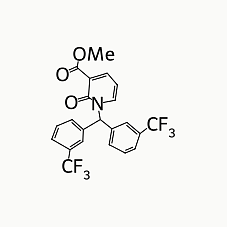 COC(=O)c1cccn(C(c2cccc(C(F)(F)F)c2)c2cccc(C(F)(F)F)c2)c1=O